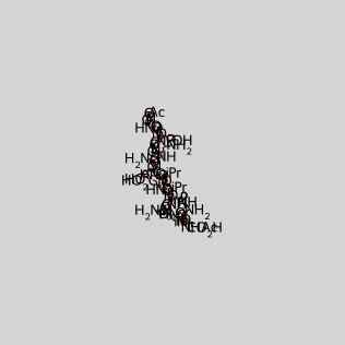 CC(=O)CN(C[C@H](C)NC(=O)CN(C[C@H](Cc1ccc(O)cc1)NC(=O)CN(C[C@H](CCCCN)NC(=O)CN(C[C@H](Cc1ccc(O)cc1)NC(=O)CN(C[C@H](CCC(=O)O)NC(=O)CN(C[C@H](Cc1c[nH]c2ccccc12)NC(=O)CN(C[C@H](CC(C)C)NC(=O)CN(C[C@H](CCC(=O)O)NC(C)=O)S(=O)(=O)CCN)S(=O)(=O)CCN)S(=O)(=O)CC(C)C)S(=O)(=O)CC(C)C)S(=O)(=O)CCN)S(C)(=O)=O)S(C)(=O)=O)S(C)(=O)=O